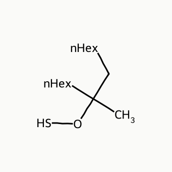 CCCCCCCC(C)(CCCCCC)OS